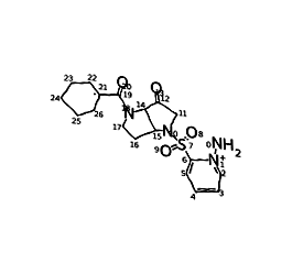 N[n+]1ccccc1S(=O)(=O)N1CC(=O)C2C1CCN2C(=O)[C]1CCCCC1